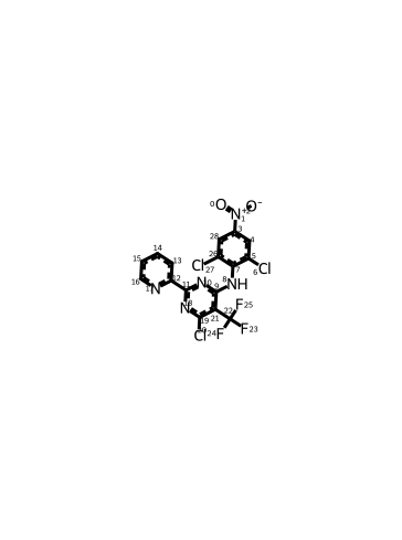 O=[N+]([O-])c1cc(Cl)c(Nc2nc(-c3ccccn3)nc(Cl)c2C(F)(F)F)c(Cl)c1